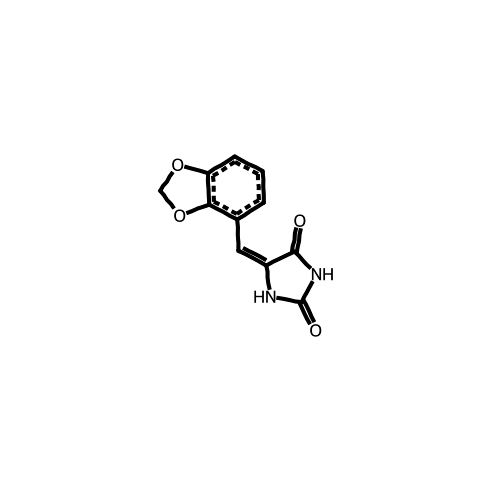 O=C1NC(=O)C(=Cc2cccc3c2OCO3)N1